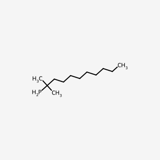 CCCCCCCCCC(C)(C)P